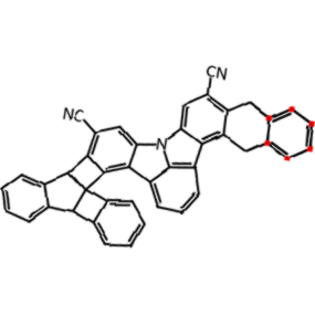 N#Cc1cc2c(c3c1C1c4ccccc4C3c3ccccc31)c1cccc3c4c5c(c(C#N)cc4n2c13)C1c2ccccc2C2c3ccccc3C521